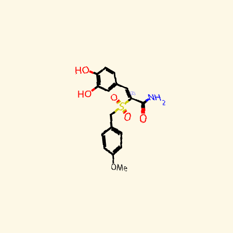 COc1ccc(CS(=O)(=O)/C(=C\c2ccc(O)c(O)c2)C(N)=O)cc1